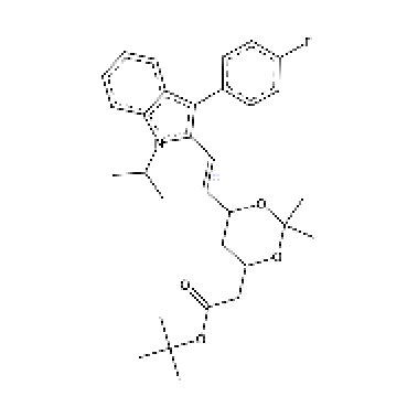 CC(C)n1c(/C=C/C2CC(CC(=O)OC(C)(C)C)OC(C)(C)O2)c(-c2ccc(F)cc2)c2ccccc21